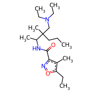 CCCC(C)(CN(CC)CC)C(C)NC(=O)c1noc(CC)c1C